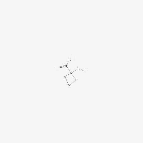 CC(C)NC1(C(N)=O)CCC1